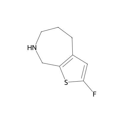 Fc1cc2c(s1)CNCCC2